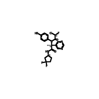 C[C@@](C(=O)N[C@H]1CCC(F)(F)C1)(c1cncnc1)N(C(=O)[C@H](F)Cl)c1ccc(S)cc1